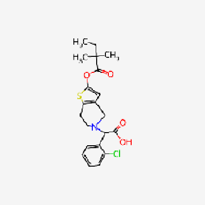 CCC(C)(C)C(=O)Oc1cc2c(s1)CCN(C(C(=O)O)c1ccccc1Cl)C2